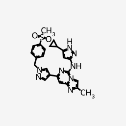 Cc1cn2c(Nc3cc(C4CC4)[nH]n3)nc(-c3cnn(Cc4ccc(S(C)(=O)=O)cc4)c3)cc2n1